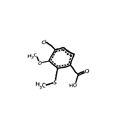 COc1c(Cl)ccc(C(=O)O)c1SC